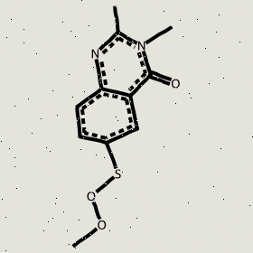 COOSc1ccc2nc(C)n(C)c(=O)c2c1